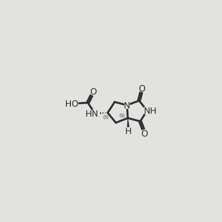 O=C(O)N[C@H]1C[C@H]2C(=O)NC(=O)N2C1